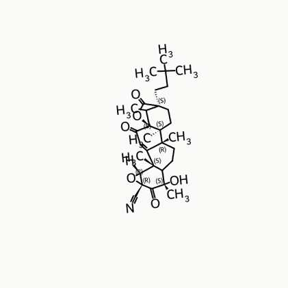 CC1[C@]2(CCC(C)(C)C)CC[C@@]3(C)[C@]4(C)CCC5[C@](C)(O)C(=O)[C@]6(C#N)O[C@@H]6[C@]5(C)C4=CC(=O)[C@]13OC2=O